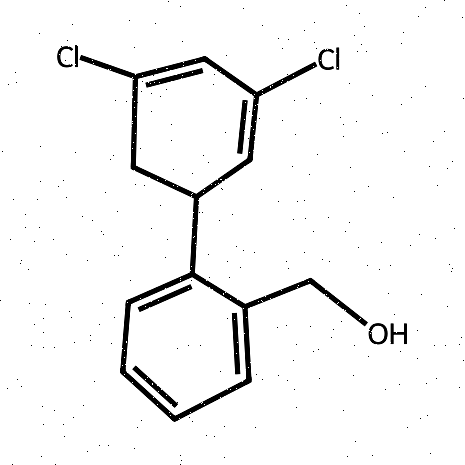 OCc1ccccc1C1C=C(Cl)C=C(Cl)C1